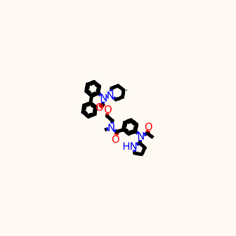 CC(=O)N(c1cccc(C(=O)N(C)CCOC(=O)N(c2ccccc2-c2ccccc2)N2CC[CH]CC2)c1)C1CCCN1